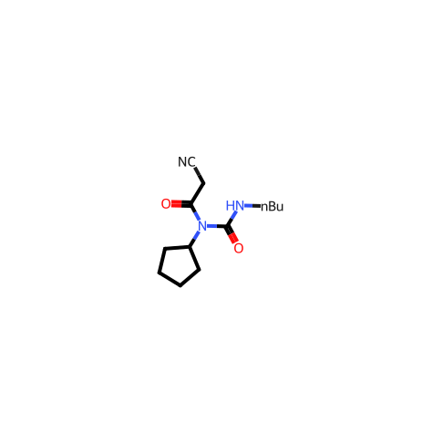 CCCCNC(=O)N(C(=O)CC#N)C1CCCC1